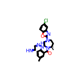 Cc1ccc(N/N=C\C=N)c(C(=O)N2CCN(c3nc4cc(Cl)ccc4o3)CC[C@H]2C)c1